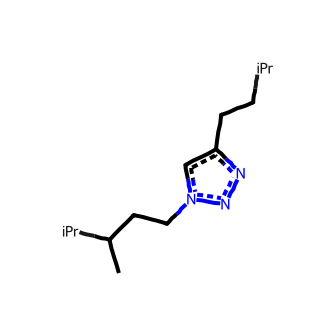 CC(C)CCc1cn(CCC(C)C(C)C)nn1